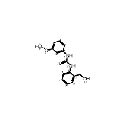 COc1cccc(NC(=O)Nc2ccccc2CO)c1